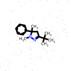 CN1N=C(C(C)(C)C)CC1(C)c1ccccc1